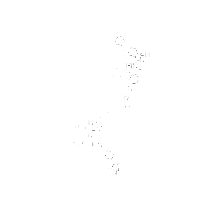 Cc1ncsc1-c1ccc(CNC(=O)[C@@H]2C[C@@H](O)CN2C(=O)[C@@H](NC(=O)CCCCCCCC(=O)N2CCN(c3ccc(C(=O)Nc4n[nH]c5ccc(Cc6cc(F)cc(F)c6)cc45)c(NC4CCOCC4)c3)CC2)C(C)(C)C)cc1